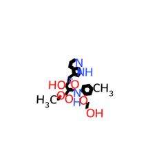 CCOC(=O)C1=C(Nc2ccc(C)cc2OCCO)O/C(=C\c2c[nH]c3ncccc23)C1O